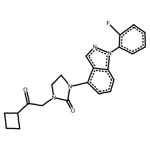 O=C(CN1CCN(c2cccc3c2cnn3-c2ccccc2F)C1=O)C1CCC1